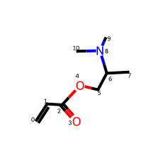 C=CC(=O)OCC(C)N(C)C